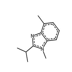 Cc1cccc2c1nc(C(C)C)n2C